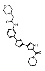 O=C(CN1CCOCC1)Nc1cccc(-c2nc(-c3c[nH]c(C(=O)N4CCCCC4)c3)cs2)c1